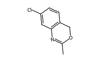 CC1=Nc2cc(Cl)ccc2CO1